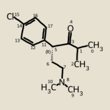 CC(C)C(=O)[C@H](CCN(C)C)c1ccc(Cl)cc1